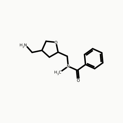 CN(CC1CC(CN)CO1)C(=O)c1ccccc1